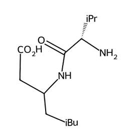 CCC(C)CC(CC(=O)O)NC(=O)[C@@H](N)C(C)C